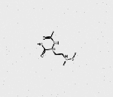 CS[SH](C)CC[C@H](NC(C)=O)C(=O)O